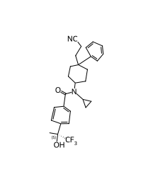 C[C@](O)(c1ccc(C(=O)N(C2CC2)C2CCC(CCC#N)(c3ccccc3)CC2)cc1)C(F)(F)F